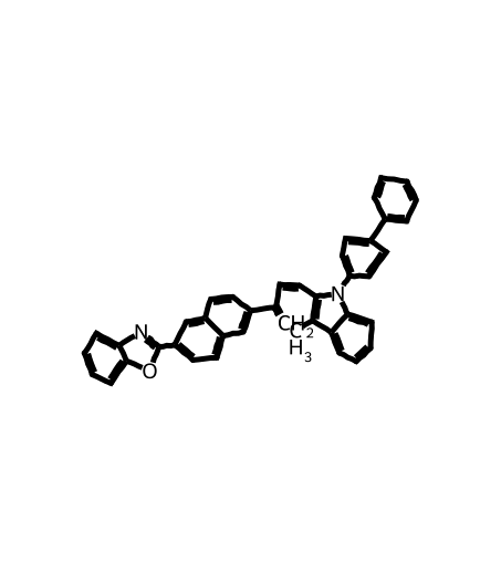 C=C(/C=C\c1c(C)c2ccccc2n1-c1ccc(-c2ccccc2)cc1)c1ccc2cc(-c3nc4ccccc4o3)ccc2c1